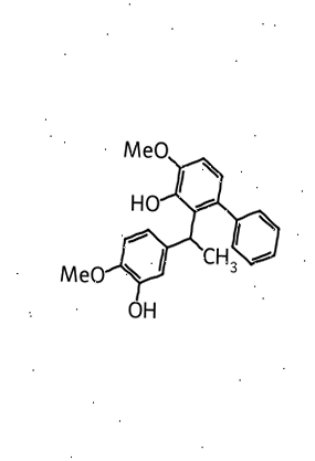 COc1ccc(C(C)c2c(-c3ccccc3)ccc(OC)c2O)cc1O